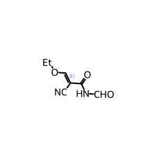 CCO/C=C(\C#N)C(=O)NC=O